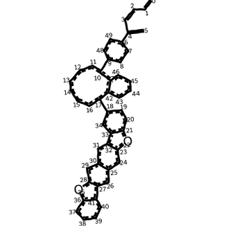 C=C/C=C\C(=C)c1ccc(-c2ccccccc(-c3ccc4oc5cc6cc7c(cc6cc5c4c3)oc3ccccc37)c3ccccc23)cc1